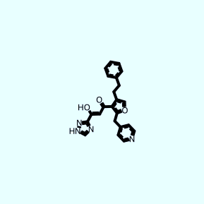 O=C(C=C(O)c1nc[nH]n1)c1c(CCc2ccccc2)coc1Cc1ccncc1